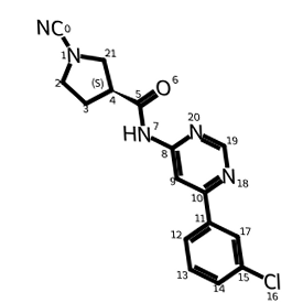 N#CN1CC[C@H](C(=O)Nc2cc(-c3cccc(Cl)c3)ncn2)C1